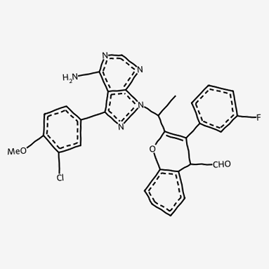 COc1ccc(-c2nn(C(C)C3=C(c4cccc(F)c4)C(C=O)c4ccccc4O3)c3ncnc(N)c23)cc1Cl